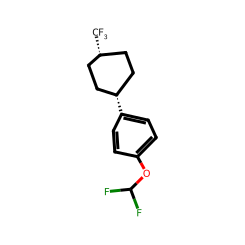 FC(F)Oc1ccc([C@H]2CC[C@@H](C(F)(F)F)CC2)cc1